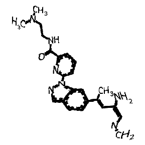 C=N/C=C(N)\C=C(/C)c1ccc2cnn(-c3cccc(C(=O)NCCN(C)C)n3)c2c1